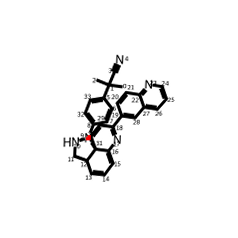 CC(C)(C#N)c1ccc(N2NCC3C=CC=C4N=C(c5ccc6ncccc6c5)C=CC432)cc1